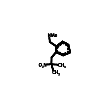 CNCc1ccccc1CC(C)(C)[N+](=O)[O-]